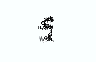 CC(NC(=O)c1cc(CCCN2CCN(C(=O)OC(C)(C)C)CC2)ncn1)C1=CCCC=C(C(=O)Nc2cc(C(F)(F)F)c(Cl)cn2)S1